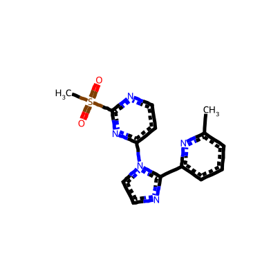 Cc1cccc(-c2nccn2-c2ccnc(S(C)(=O)=O)n2)n1